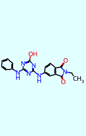 CCN1C(=O)c2ccc(Nc3nc(O)nc(Nc4ccccc4)n3)cc2C1=O